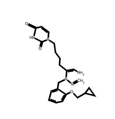 C=NN(Cc1ccccc1OCC1CC1)/C(=C\N)CCCCn1ccc(=O)[nH]c1=O